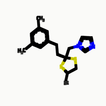 CCC1CSC(CCc2cc(C)cc(C)c2)(Cn2ccnc2)S1